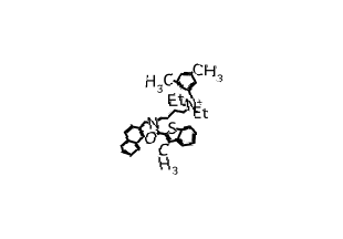 CC[N+](CC)(CCCCN(Cc1ccc2ccccc2c1)C(=O)c1sc2ccccc2c1C)Cc1cc(C)cc(C)c1